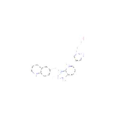 OCCn1cc(-c2ccc3nnn(Cc4cc5cccnc5cc4F)c3n2)cn1